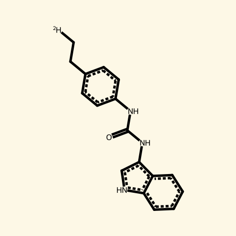 [2H]CCc1ccc(NC(=O)Nc2c[nH]c3ccccc23)cc1